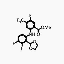 COC(=O)c1cc(F)c(C(F)(F)F)cc1Nc1ccc(F)c(F)c1C1OCCO1